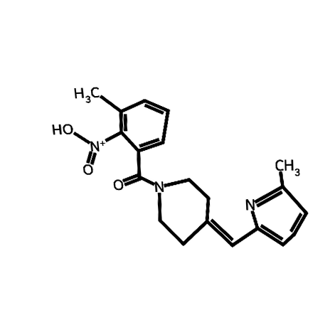 Cc1cccc(C=C2CCN(C(=O)c3cccc(C)c3[N+](=O)O)CC2)n1